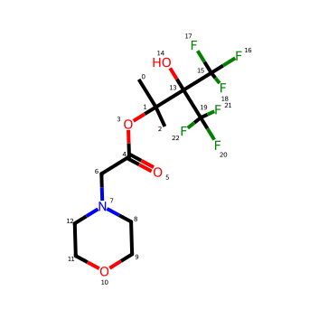 CC(C)(OC(=O)CN1CCOCC1)C(O)(C(F)(F)F)C(F)(F)F